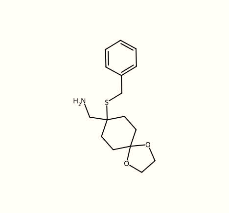 NCC1(SCc2ccccc2)CCC2(CC1)OCCO2